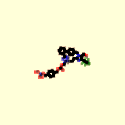 CCCc1nc(C(F)(F)C(F)(F)F)c(C=O)n1Cc1ccc(-c2ccccc2-c2nnn(COC(=O)OCc3ccc(CON(O)O)cc3)n2)cc1